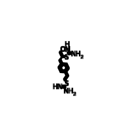 N=C(N)SCCc1ccc(C[C@@H](CO)SC(=N)N)cc1